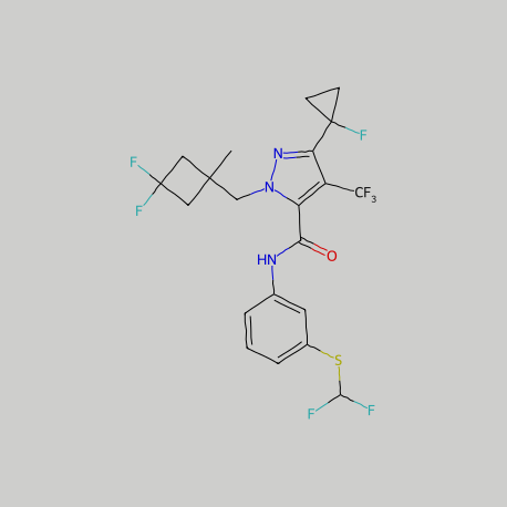 CC1(Cn2nc(C3(F)CC3)c(C(F)(F)F)c2C(=O)Nc2cccc(SC(F)F)c2)CC(F)(F)C1